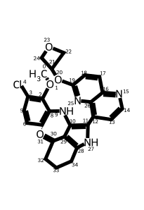 COc1c(Cl)cccc1Nc1c(-c2ccnc3ccc(OC4COC4)nc23)[nH]c2c1C(=O)CCC2